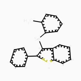 Cc1ccccc1[Se]c1c(-c2ccccc2)sc2ccccc12